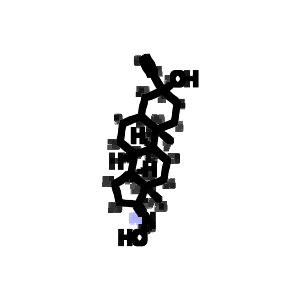 C#CC1(O)CC[C@@]2(C)C(CC[C@@H]3[C@@H]2CC[C@]2(C)/C(=N/O)CC[C@@H]32)C1